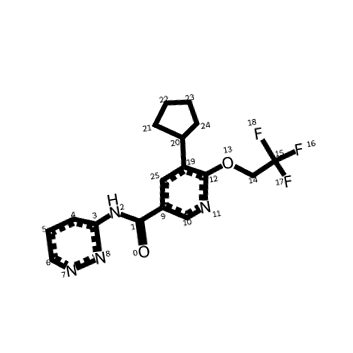 O=C(Nc1cccnn1)c1cnc(OCC(F)(F)F)c(C2CCCC2)c1